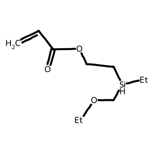 C=CC(=O)OCC[SiH](CC)COCC